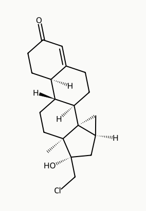 C[C@]12CC[C@H]3[C@@H](CCC4=CC(=O)CC[C@@H]43)[C@]13C[C@H]3C[C@@]2(O)CCl